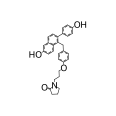 O=C1CCCN1CCCOc1ccc(Cc2c(-c3ccc(O)cc3)ccc3cc(O)ccc23)cc1